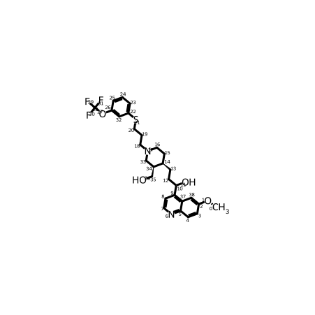 COc1ccc2nccc(C(O)CC[C@@H]3CCN(CCCSc4cccc(OC(F)(F)F)c4)C[C@@H]3CO)c2c1